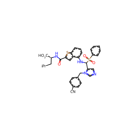 CC(C)C[C@H](NC(=O)c1cc2c(NC(c3cncn3Cc3ccc(C#N)cc3)S(=O)(=O)c3ccccc3)cccc2s1)C(=O)O